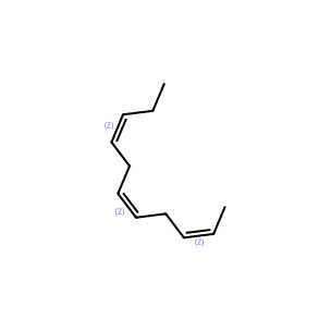 C/C=C\C/C=C\C/C=C\CC